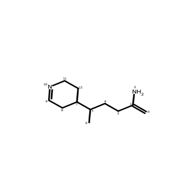 C=C(N)CCC(C)C1CC=NCC1